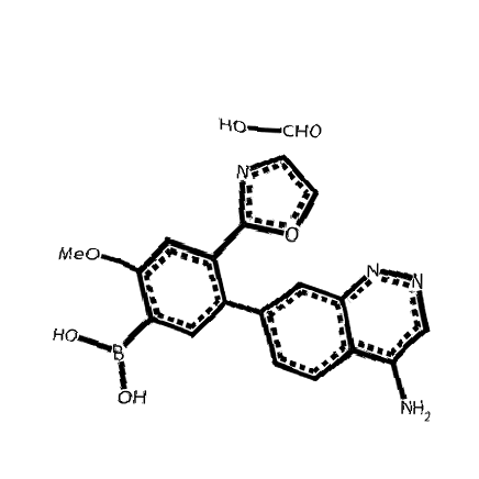 COc1cc(-c2ncco2)c(-c2ccc3c(N)cnnc3c2)cc1B(O)O.O=CO